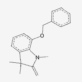 C=C1N(C)c2c(OCc3ccccc3)cccc2C1(C)C